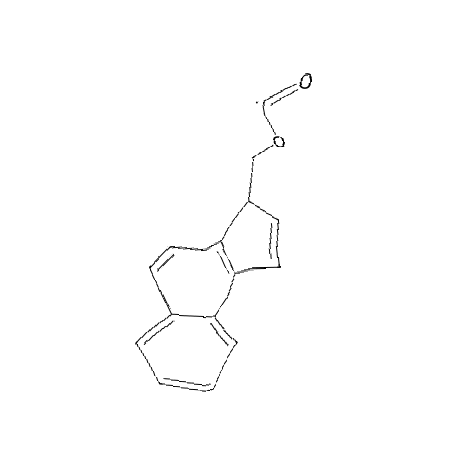 O=[C]OCC1C=Cc2c1ccc1ccccc21